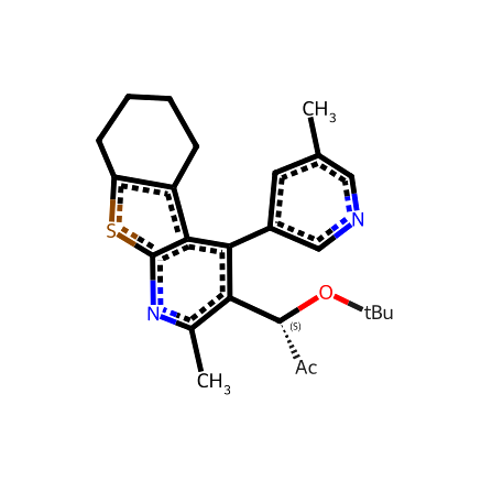 CC(=O)[C@@H](OC(C)(C)C)c1c(C)nc2sc3c(c2c1-c1cncc(C)c1)CCCC3